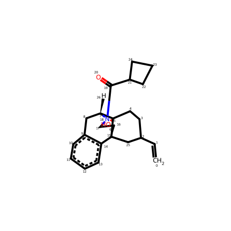 C=CC1CC[C@@]2(O)[C@H]3Cc4ccccc4[C@@]2(CCN3C(=O)C2CCC2)C1